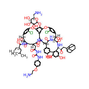 CC[C@H](CC(C)C)C(=O)N[C@H]1C(=O)C[C@@H](CC(=O)NC(=O)Nc2ccc(OCCN)cc2)C(=O)NC2C(=O)C[C@H]3C(=O)N[C@H](C(=O)N[C@H](C(=O)CC4C5CC6CC(C5)CC4C6)c4cc(O)cc(O)c4-c4cc3ccc4O)[C@H](O)c3ccc(c(Cl)c3)Oc3cc2cc(c3O[C@@H]2O[C@H](CN)[C@@H](O)[C@H](O)[C@H]2O)Oc2ccc(cc2Cl)[C@H]1O